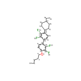 CCCCCOc1ccc(-c2ccc(C3CCC(CC)CC3)c(F)c2F)c(F)c1F